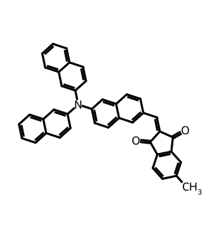 Cc1ccc2c(c1)C(=O)C(=Cc1ccc3cc(N(c4ccc5ccccc5c4)c4ccc5ccccc5c4)ccc3c1)C2=O